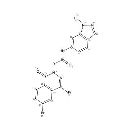 CC(C)c1nn(CC(=O)Nc2ccc3cnn(C)c3c2)c(=O)c2ccc(Br)cc12